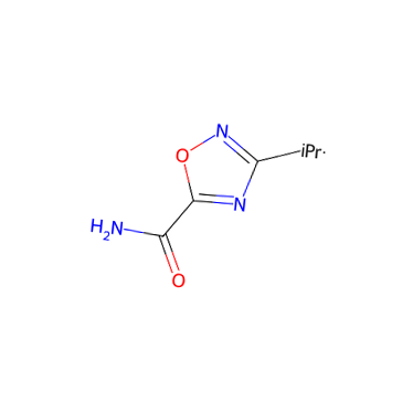 C[C](C)c1noc(C(N)=O)n1